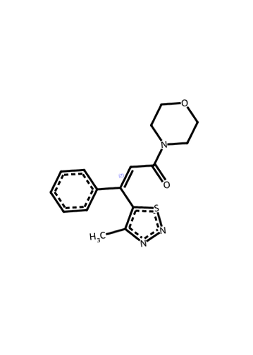 Cc1nnsc1/C(=C\C(=O)N1CCOCC1)c1ccccc1